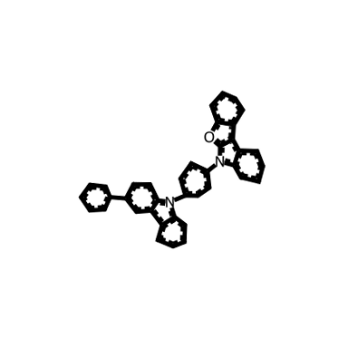 c1ccc(-c2ccc3c(c2)c2ccccc2n3-c2ccc(-n3c4ccccc4c4c5ccccc5oc43)cc2)cc1